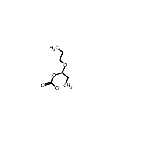 CCCOC(CC)OC(=O)Cl